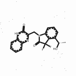 C[C@H](O)c1cccc2c1C(F)(F)C(=O)N2Cc1nc2ccccc2[nH]c1=O